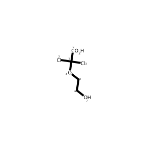 O=C(O)C(Cl)(Cl)OCCO